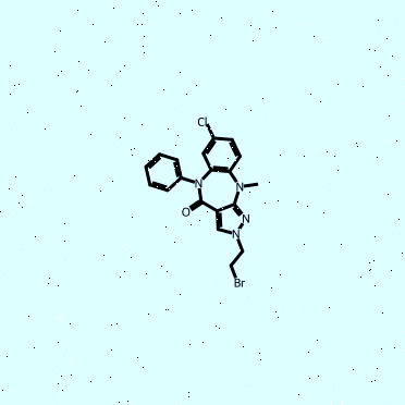 CN1c2ccc(Cl)cc2N(c2ccccc2)C(=O)c2cn(CCBr)nc21